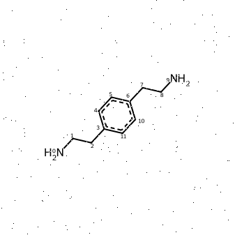 NCCc1ccc(CCN)cc1